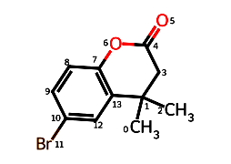 CC1(C)CC(=O)Oc2ccc(Br)cc21